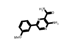 COc1cccc(-c2cnc(N)c(C(N)=O)n2)c1